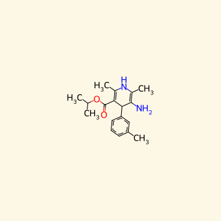 CC1=C(N)C(c2cccc(C)c2)C(C(=O)OC(C)C)=C(C)N1